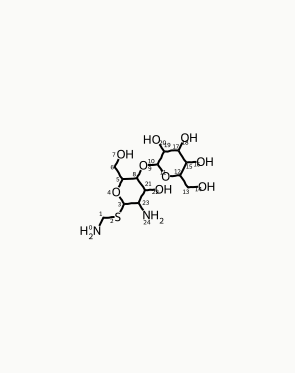 NCSC1OC(CO)C(OC2OC(CO)C(O)C(O)C2O)C(O)C1N